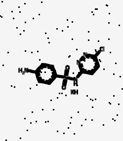 Nc1ccc(S(=O)(=O)Nc2ccc(Cl)nn2)cc1.[KH]